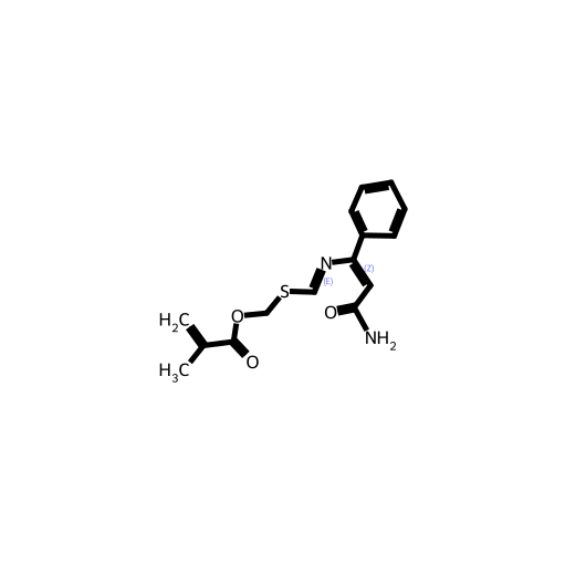 C=C(C)C(=O)OCS/C=N/C(=C\C(N)=O)c1ccccc1